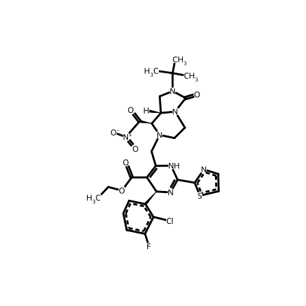 CCOC(=O)C1=C(CN2CCN3C(=O)N(C(C)(C)C)C[C@H]3[C@@H]2C(=O)[N+](=O)[O-])NC(c2nccs2)=N[C@H]1c1cccc(F)c1Cl